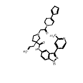 C=CCC1(C(=O)Nc2ccc3[nH]nc(-c4ccnc(C)c4)c3c2)CCN(CC(=O)N2CC=C(C3=CCC=C3)CC2)C1